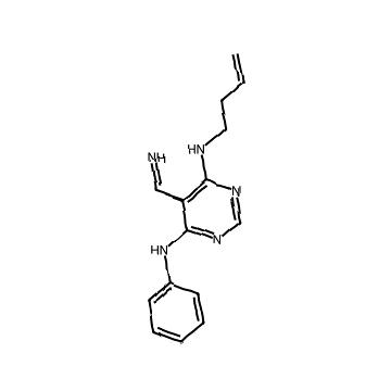 C=CCCNc1ncnc(Nc2ccccc2)c1C=N